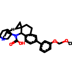 COCOc1cccc(-c2ccc3c(c2)CCC2(CC2)C3N(C(=O)O)[C@@H]2CN3CCC2CC3)c1